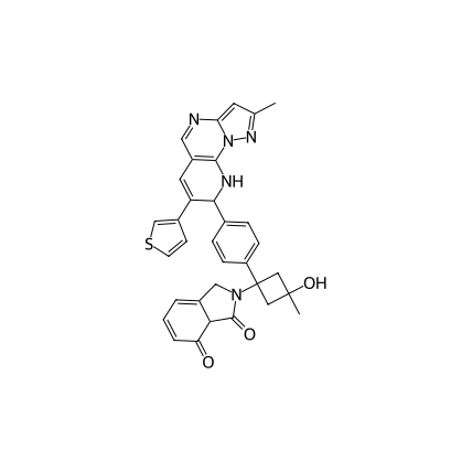 Cc1cc2ncc3c(n2n1)NC(c1ccc(C2(N4CC5=CC=CC(=O)C5C4=O)CC(C)(O)C2)cc1)C(c1ccsc1)=C3